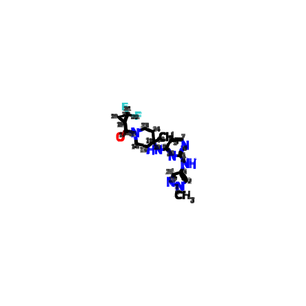 Cn1cc(Nc2nccc(NC3(C)CCN(C(=O)C4CC4(F)F)CC3)n2)cn1